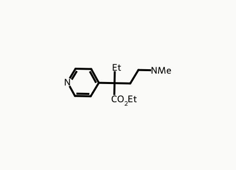 CCOC(=O)C(CC)(CCNC)c1ccncc1